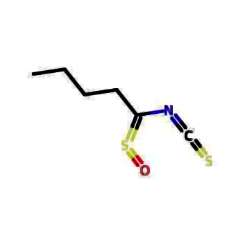 CCCCC(N=C=S)=S=O